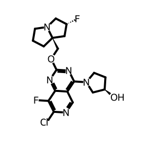 O[C@@H]1CCN(c2nc(OC[C@@]34CCCN3C[C@H](F)C4)nc3c(F)c(Cl)ncc23)C1